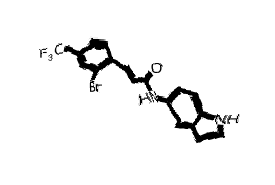 O=C(C=Cc1ccc(C(F)(F)F)cc1Br)Nc1ccc2[nH]ccc2c1